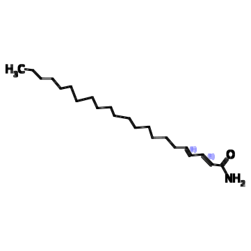 CCCCCCCCCCCCCCCCC/C=C/C=C/C(N)=O